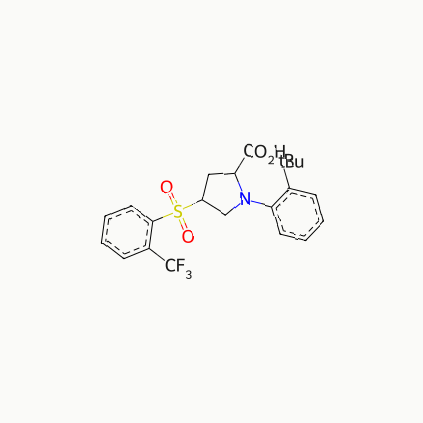 CC(C)(C)c1ccccc1N1CC(S(=O)(=O)c2ccccc2C(F)(F)F)CC1C(=O)O